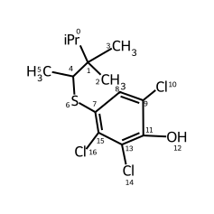 CC(C)C(C)(C)C(C)Sc1cc(Cl)c(O)c(Cl)c1Cl